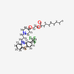 CCCCCCCCC(=O)OCCOC1CCN(CCCN2c3ccccc3Sc3ccc(C(F)(F)F)cc32)CC1